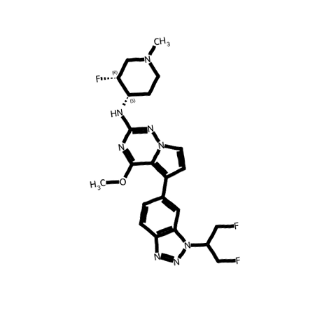 COc1nc(N[C@H]2CCN(C)C[C@H]2F)nn2ccc(-c3ccc4nnn(C(CF)CF)c4c3)c12